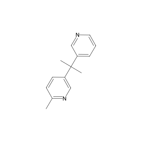 Cc1ccc(C(C)(C)c2cccnc2)cn1